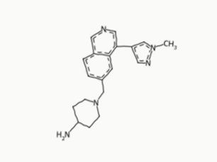 Cn1cc(-c2cncc3ccc(CN4CCC(N)CC4)cc23)cn1